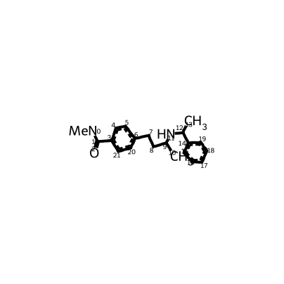 CNC(=O)c1ccc(CCC(C)NC(C)c2ccccc2)cc1